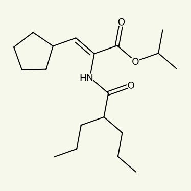 CCCC(CCC)C(=O)NC(=CC1CCCC1)C(=O)OC(C)C